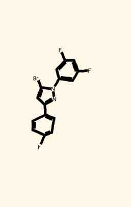 Fc1ccc(-c2cc(Br)n(-c3cc(F)cc(F)c3)n2)cc1